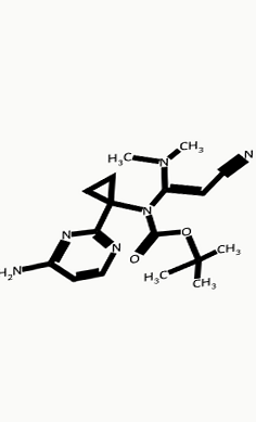 CN(C)C(=CC#N)N(C(=O)OC(C)(C)C)C1(c2nccc(N)n2)CC1